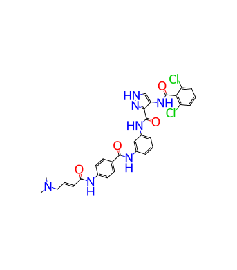 CN(C)CC=CC(=O)Nc1ccc(C(=O)Nc2cccc(NC(=O)c3n[nH]cc3NC(=O)c3c(Cl)cccc3Cl)c2)cc1